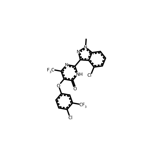 Cn1nc(-c2nc(C(F)(F)F)c(Oc3ccc(Cl)c(C(F)(F)F)c3)c(=O)[nH]2)c2c(Cl)cccc21